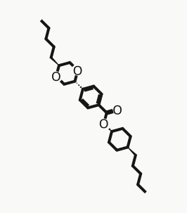 CCCCC[C@H]1CO[C@H](c2ccc(C(=O)O[C@H]3CC[C@H](CCCCC)CC3)cc2)CO1